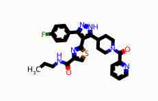 CCCNC(=O)c1csc(-c2c(-c3ccc(F)cc3)n[nH]c2C2CCN(C(=O)c3ccccn3)CC2)n1